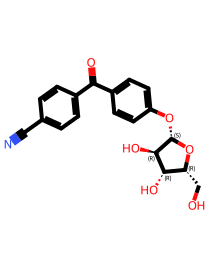 N#Cc1ccc(C(=O)c2ccc(O[C@@H]3O[C@H](CO)[C@H](O)[C@H]3O)cc2)cc1